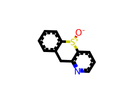 [O-][S+]1c2ccccc2Cc2ncccc21